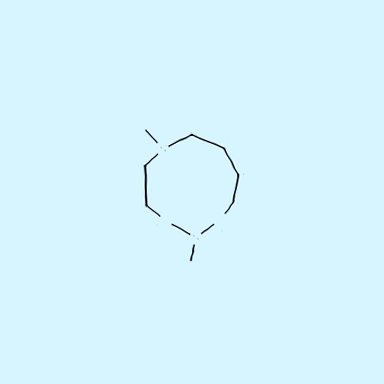 CN1CCCCCN(C)CCC1